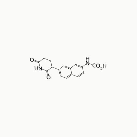 O=C(O)Nc1ccc2ccc(C3CCC(=O)NC3=O)cc2c1